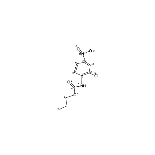 CCCOC(=O)Nc1ccc([N+](=O)[O-])cc1Cl